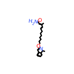 CC(C=CCCCCCCCOc1cc2ccccc2c(C)n1)=CC(N)=O